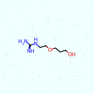 N=C(N)NCCOCCCO